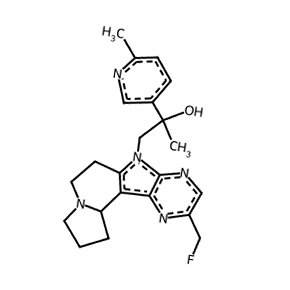 Cc1ccc(C(C)(O)Cn2c3c(c4nc(CF)cnc42)C2CCCN2CC3)cn1